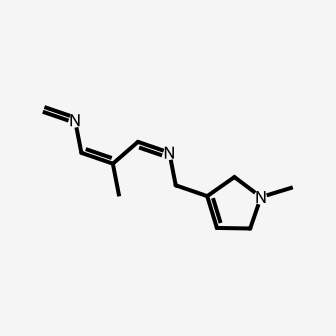 C=N/C=C(C)\C=N/CC1=CCN(C)C1